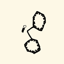 C=O.c1ccc(Cc2ccccc2)cc1